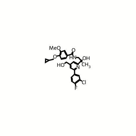 COc1cc(C(=O)NCC(C)(O)c2cc(CO)cc(-c3ccc(F)c(Cl)c3)n2)ccc1OCC1CC1